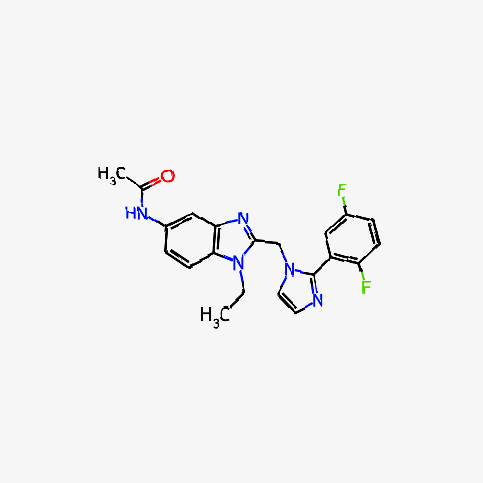 CCn1c(Cn2ccnc2-c2cc(F)ccc2F)nc2cc(NC(C)=O)ccc21